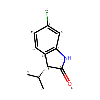 CC(C)[C@H]1C(=O)Nc2cc(F)ccc21